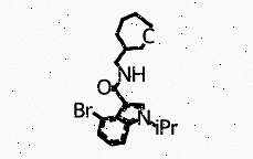 CC(C)n1cc(C(=O)NCC2CCCCCC2)c2c(Br)cccc21